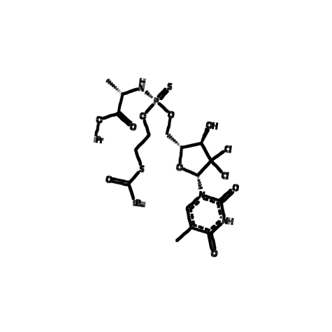 Cc1cn([C@@H]2O[C@H](CO[P@@](=S)(N[C@@H](C)C(=O)OC(C)C)OCCSC(=O)C(C)(C)C)[C@@H](O)C2(Cl)Cl)c(=O)[nH]c1=O